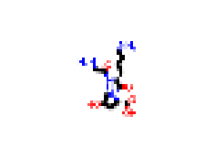 NCCCC[C@H](NC(=O)CN)C(=O)N1C[C@H](O)C[C@H]1C(=O)O